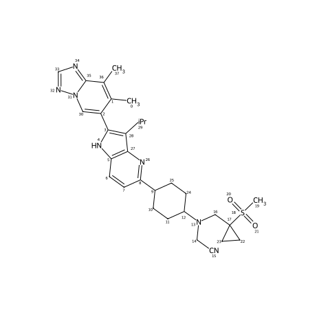 Cc1c(-c2[nH]c3ccc(C4CCC(N(CC#N)CC5(S(C)(=O)=O)CC5)CC4)nc3c2C(C)C)cn2ncnc2c1C